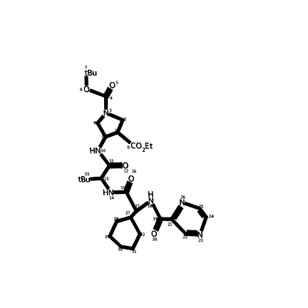 CCOC(=O)C1CN(C(=O)OC(C)(C)C)CC1NC(=O)C(NC(=O)C(NC(=O)c1cnccn1)C1CCCCC1)C(C)(C)C